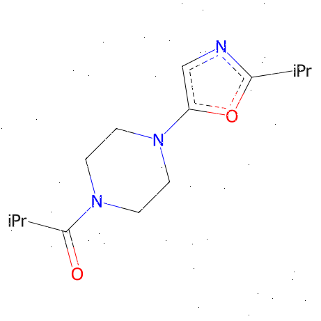 CC(C)C(=O)N1CCN(c2cnc(C(C)C)o2)CC1